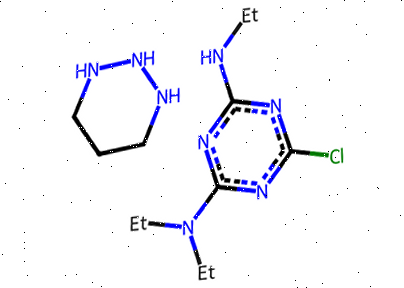 C1CNNNC1.CCNc1nc(Cl)nc(N(CC)CC)n1